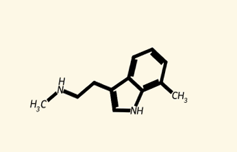 CNCCc1c[nH]c2c(C)cccc12